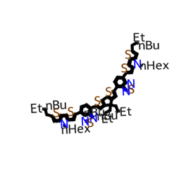 CCCCCCn1c2cc(CC(CC)CCCC)sc2c2sc(-c3ccc(-c4cc5c(s4)-c4sc(-c6ccc(-c7cc8c(s7)c7sc(CC(CC)CCCC)cc7n8CCCCCC)c7nsnc67)cc4C5(CC(CC)CCCC)CC(CC)CCCC)c4nsnc34)cc21